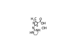 Cc1nc(N=C2NCCCN2)sc1C(=O)O.Cl